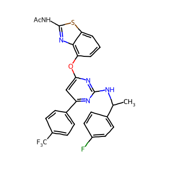 CC(=O)Nc1nc2c(Oc3cc(-c4ccc(C(F)(F)F)cc4)nc(NC(C)c4ccc(F)cc4)n3)cccc2s1